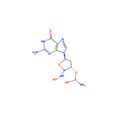 Nc1nc2c(ncn2[C@H]2C[C@H](OP(N)O)N(NO)O2)c(=O)[nH]1